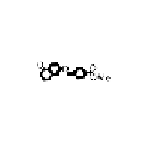 COC(=O)c1ccc(COc2ccc3c(c2)CCCC3=O)cc1